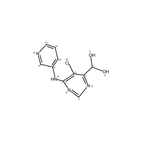 OC(O)c1ncnc(Nc2cccnc2)c1Cl